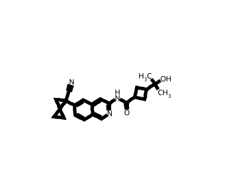 CC(C)(O)C1CC(C(=O)Nc2cc3cc(C4(C#N)CC45CC5)ccc3cn2)C1